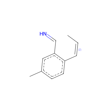 C/C=C\c1ccc(C)cc1C=N